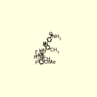 COc1ccc(F)cc1C(C)(C)CC(O)(CNc1cc(C)cc2c1cnn2-c1ccc(C(N)=O)cc1)C(F)(F)F